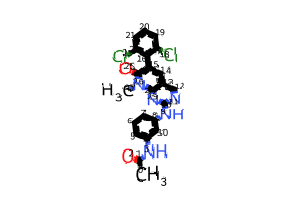 CC(=O)Nc1cccc(Nc2ncc3cc(-c4c(Cl)cccc4Cl)c(=O)n(C)c3n2)c1